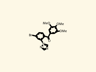 COc1cc(C(=O)c2ccc(Br)cc2-n2cncn2)cc(OC)c1OC